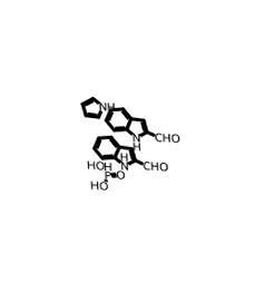 O=Cc1cc2ccccc2[nH]1.O=Cc1cc2ccccc2[nH]1.O=[PH](O)O.c1cc[nH]c1